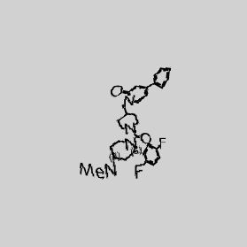 CN[C@@H]1CCN(C(=O)N2CCC(Cn3ccc(-c4ccccc4)cc3=O)CC2)[C@H](c2cc(F)ccc2F)C1